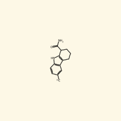 [11CH3]c1ccc2[nH]c3c(c2c1)CCCC3C(N)=O